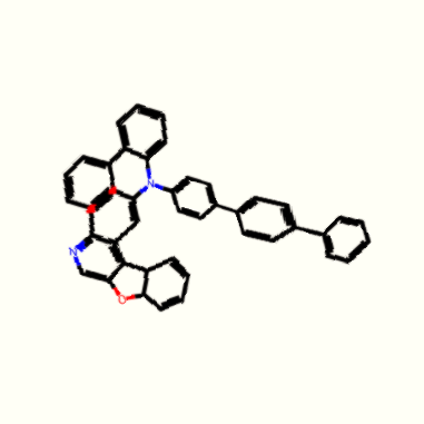 C1=CC2Oc3cnc4ccc(N(c5ccc(-c6ccc(-c7ccccc7)cc6)cc5)c5ccccc5-c5ccccc5)cc4c3C2C=C1